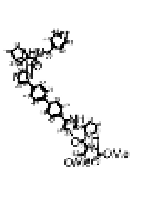 COC(=O)N[C@H](C(=O)N1CCC[C@H]1c1ncc(-c2ccc(-c3ccc(-c4cnc([C@@H]5C6CCC(C6)C5C(=O)NCc5ccncc5)[nH]4)cc3)cc2)[nH]1)[C@@H](C)OC